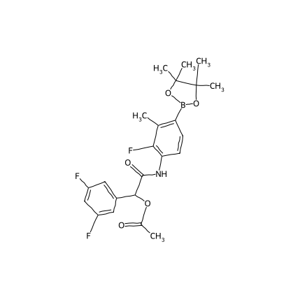 CC(=O)OC(C(=O)Nc1ccc(B2OC(C)(C)C(C)(C)O2)c(C)c1F)c1cc(F)cc(F)c1